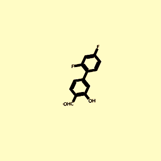 O=[C]c1ccc(-c2ccc(F)cc2F)cc1O